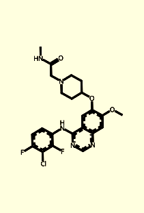 CNC(=O)CN1CCC(Oc2cc3c(Nc4ccc(F)c(Cl)c4F)ncnc3cc2OC)CC1